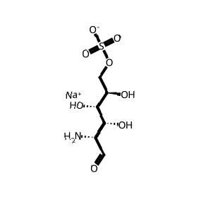 N[C@@H](C=O)[C@@H](O)[C@H](O)[C@H](O)COS(=O)(=O)[O-].[Na+]